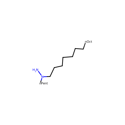 CCCCCCCCCCCCCCCN(N)CCCCC